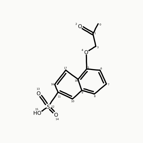 CC(=O)COc1cccc2cc(S(=O)(=O)O)ccc12